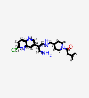 CC(C)CC(=O)N1CCC(CN/C=C(\CN)c2cnc3ccc(Cl)nc3c2)CC1